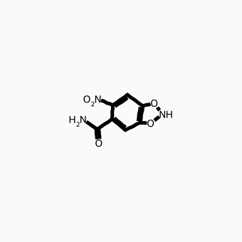 NC(=O)c1cc2c(cc1[N+](=O)[O-])ONO2